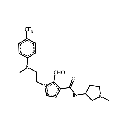 CN1CCC(NC(=O)c2ccn(CCN(C)c3ccc(C(F)(F)F)cc3)c2C=O)C1